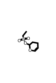 CCS(=O)(=O)OC1CCC=CO1